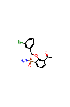 CC(=O)c1cccc(S(N)(=O)=O)c1OCc1cccc(Br)c1